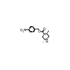 C[C@@H]1CN(C(=O)OCc2ccc([N+](=O)[O-])cc2)[C@@H](C)CN1